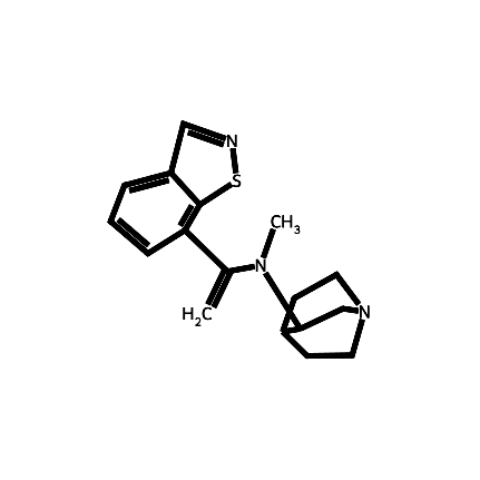 C=C(c1cccc2cnsc12)N(C)C1CN2CCC1CC2